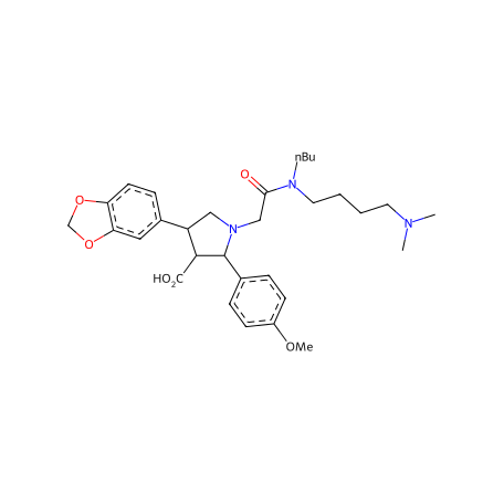 CCCCN(CCCCN(C)C)C(=O)CN1CC(c2ccc3c(c2)OCO3)C(C(=O)O)C1c1ccc(OC)cc1